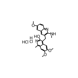 CNc1nc2ccc(OC)cc2cc1Cc1c(O)nc(C)c2cc(OC)c(OC)cc12.Cl.Cl